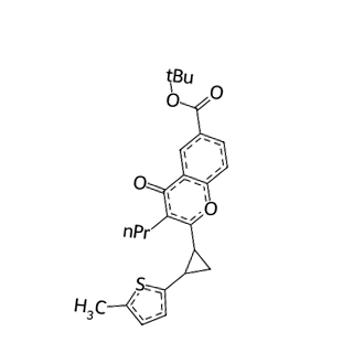 CCCc1c(C2CC2c2ccc(C)s2)oc2ccc(C(=O)OC(C)(C)C)cc2c1=O